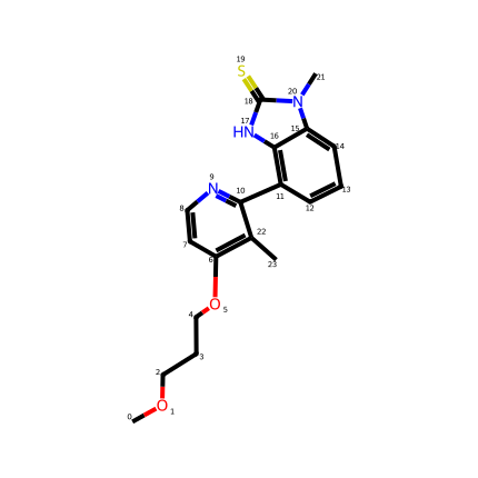 COCCCOc1ccnc(-c2cccc3c2[nH]c(=S)n3C)c1C